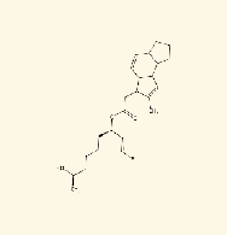 CC/C=C/[C@@H](CCCC[C@@H](C)O)OC(=O)CC1C(C)=CC2C1C=CC1CCCC12